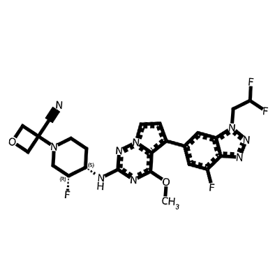 COc1nc(N[C@H]2CCN(C3(C#N)COC3)C[C@H]2F)nn2ccc(-c3cc(F)c4nnn(CC(F)F)c4c3)c12